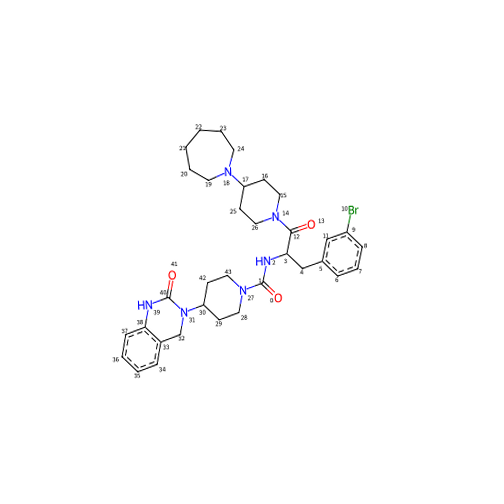 O=C(NC(Cc1cccc(Br)c1)C(=O)N1CCC(N2CCCCCC2)CC1)N1CCC(N2Cc3ccccc3NC2=O)CC1